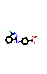 CCCCOC(=O)c1ccc(Nc2nnc(Cl)c3ccccc23)cc1